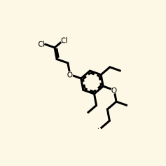 [CH2]CCC(C)Oc1c(CC)cc(OCC=C(Cl)Cl)cc1CC